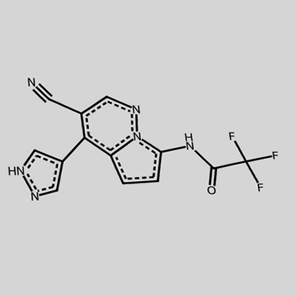 N#Cc1cnn2c(NC(=O)C(F)(F)F)ccc2c1-c1cn[nH]c1